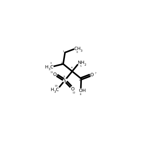 CCC(C)C(N)(C(=O)O)S(C)(=O)=O